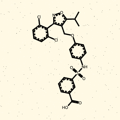 CC(C)c1onc(-c2c(Cl)cccc2Cl)c1COc1ccc(NS(=O)(=O)c2cccc(C(=O)O)c2)cc1